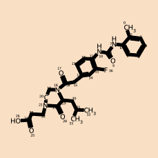 Cc1ccccc1NC(=O)Nc1ccc(CC(=O)N2CCN(CCC(=O)O)C(=O)C2CC(C)C)cc1F